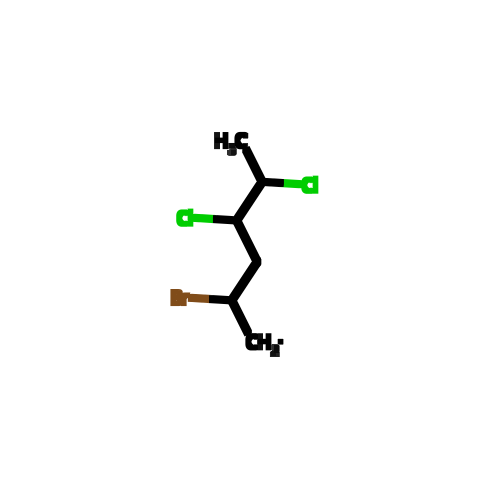 [CH2]C(Br)CC(Cl)C(C)Cl